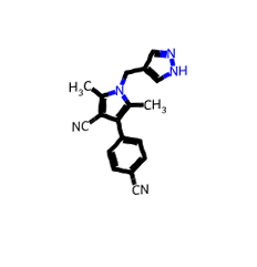 Cc1c(C#N)c(-c2ccc(C#N)cc2)c(C)n1Cc1cn[nH]c1